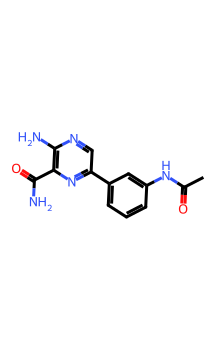 CC(=O)Nc1cccc(-c2cnc(N)c(C(N)=O)n2)c1